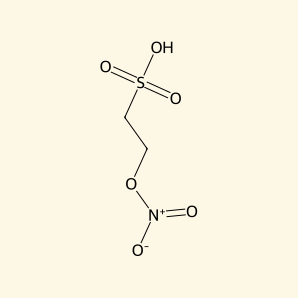 O=[N+]([O-])OCCS(=O)(=O)O